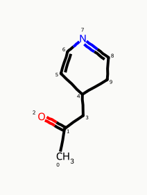 CC(=O)CC1C=CN=CC1